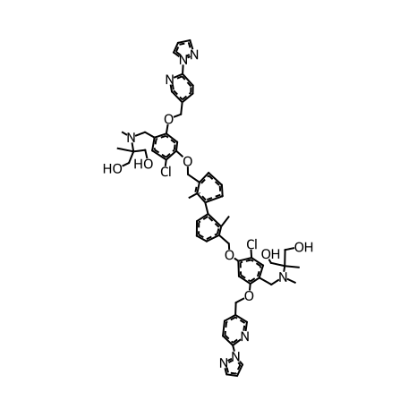 Cc1c(COc2cc(OCc3ccc(-n4cccn4)nc3)c(CN(C)C(C)(CO)CO)cc2Cl)cccc1-c1cccc(COc2cc(OCc3ccc(-n4cccn4)nc3)c(CN(C)C(C)(CO)CO)cc2Cl)c1C